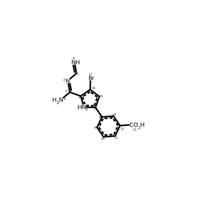 N=C/N=C(/N)c1[nH]c(-c2cccc(C(=O)O)c2)cc1Br